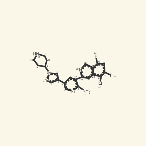 Nc1ncc(-c2cnn(C3CCNCC3)c2)cc1-c1cc2c(Cl)c(F)cc(F)c2cn1